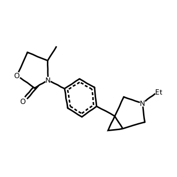 CCN1CC2CC2(c2ccc(N3C(=O)OCC3C)cc2)C1